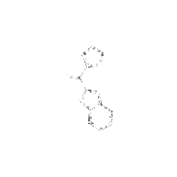 O=C(c1cccs1)c1nc2ccccc2s1